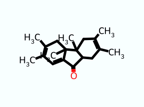 CC1=C(C)CC2(C)C(=C1)C(=O)C1CC(C)=C(C)CC12C